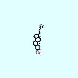 CC(C)CCCC1CCC2C3CC=C4C[C@H](O)CC[C@@]4(C)C3CC[C@@]12C